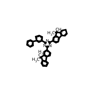 CC1(C)C2=C(C=CCC2)c2ccc(-c3nc(-c4cccc(-c5ccccc5)c4)nc(-c4ccc5c(c4)C(C)(C)c4ccccc4-5)n3)cc21